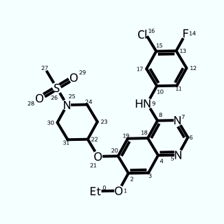 CCOc1cc2ncnc(Nc3ccc(F)c(Cl)c3)c2cc1OC1CCN(S(C)(=O)=O)CC1